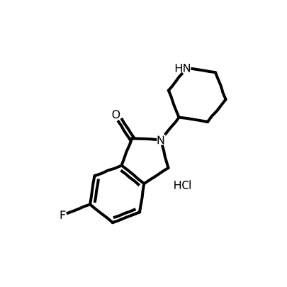 Cl.O=C1c2cc(F)ccc2CN1C1CCCNC1